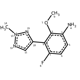 COc1c(N)ccc(F)c1-c1cnn(C)n1